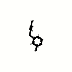 [CH2]C#CCc1cccc(C)c1